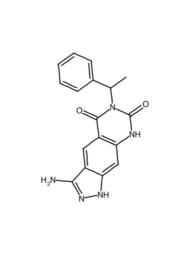 CC(c1ccccc1)n1c(=O)[nH]c2cc3[nH]nc(N)c3cc2c1=O